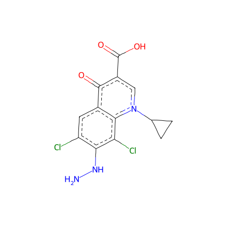 NNc1c(Cl)cc2c(=O)c(C(=O)O)cn(C3CC3)c2c1Cl